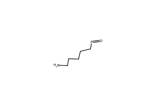 NCCCCCP=O